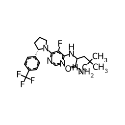 CC(C)(C)CC(Nc1ncnc(N2CCC[C@H]2c2ccc(C(F)(F)F)cc2)c1F)C(N)=O